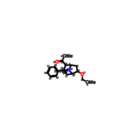 COCOC1CC2C(C(=O)OC)C(c3ccccc3)CC1N2C